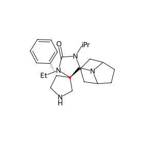 CCN1CC2(CC3CCC(C2)N3C[C@H]2CNC[C@@H]2c2ccccc2)N(C(C)C)C1=O